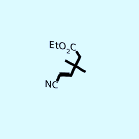 CCOC(=O)CC(C)(C)/C=C/C#N